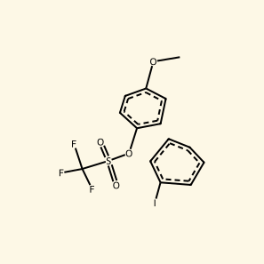 COc1ccc(OS(=O)(=O)C(F)(F)F)cc1.Ic1ccccc1